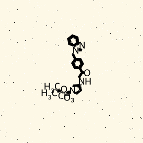 CC(C)(C)OC(=O)N1CC[C@@H](NCC(=O)c2ccc(Cn3cnc4ccccc43)cc2)C1